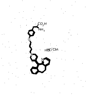 Cl.Cl.Cl.N[C@@H](Cc1ccc(OCCCCN2CCC(=C3c4ccccc4CCc4cccnc43)CC2)cc1)C(=O)O